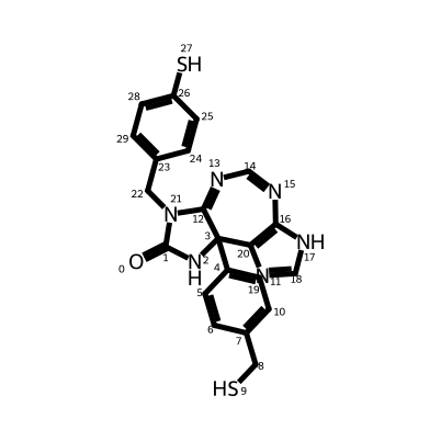 O=C1NC2(c3ccc(CS)cc3)C(=NC=Nc3[nH]cnc32)N1Cc1ccc(S)cc1